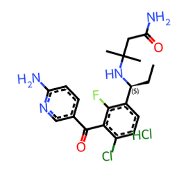 CC[C@H](NC(C)(C)CC(N)=O)c1ccc(Cl)c(C(=O)c2ccc(N)nc2)c1F.Cl